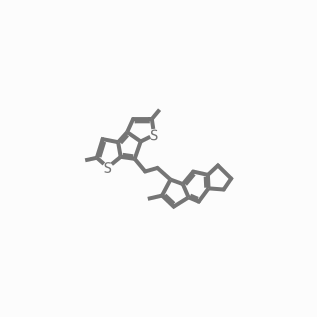 CC1=CC2=c3cc(C)sc3=C(CCC3C(C)=Cc4cc5c(cc43)CCC5)C2S1